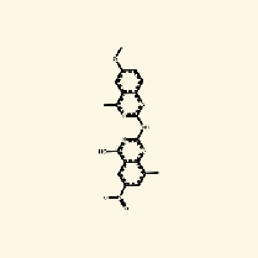 COc1ccc2nc(Nc3nc(O)c4cc([N+](=O)[O-])cc(C)c4n3)nc(C)c2c1